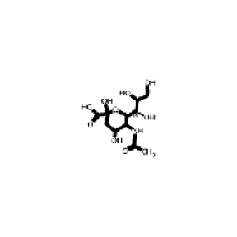 CC(=O)NC1C(O)CC(O)(C(=O)O)OC1[C@H](O)C(O)CO